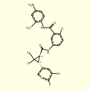 Cc1cc(N)ccc1NC(=O)c1cc(NC(=O)[C@H]2[C@H](c3ccc(F)c(Cl)c3)C2(Cl)Cl)ccc1Cl